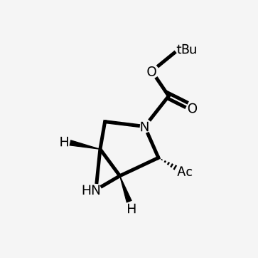 CC(=O)[C@@H]1[C@@H]2N[C@@H]2CN1C(=O)OC(C)(C)C